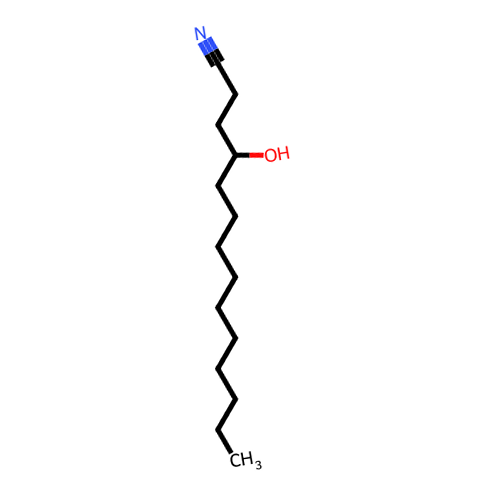 CCCCCCCCCCC(O)CCC#N